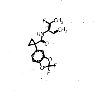 C=C/C(NC(=O)C1(c2ccc3c(c2)OC(F)(F)O3)CC1)=C(\C)F